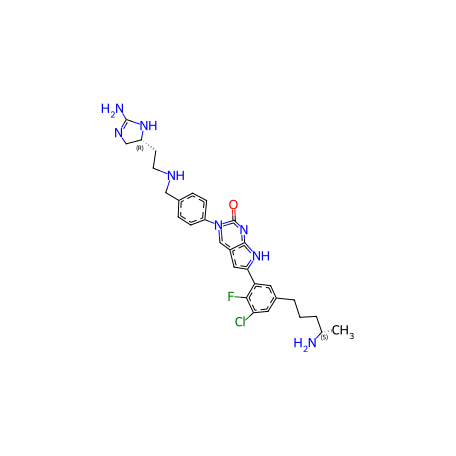 C[C@H](N)CCCc1cc(Cl)c(F)c(-c2cc3cn(-c4ccc(CNCC[C@@H]5CN=C(N)N5)cc4)c(=O)nc3[nH]2)c1